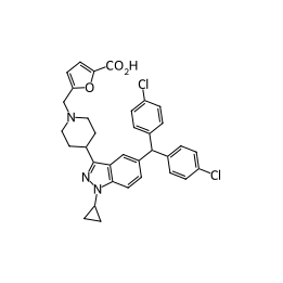 O=C(O)c1ccc(CN2CCC(c3nn(C4CC4)c4ccc(C(c5ccc(Cl)cc5)c5ccc(Cl)cc5)cc34)CC2)o1